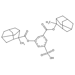 CC1(OC(=O)c2cc(OC(=O)C3(C)C4CC5CC(C4)CC3C5)cc(S(=O)(=O)O)c2)C2CC3CC(C2)CC1C3